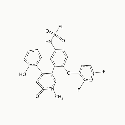 CCS(=O)(=O)Nc1ccc(Oc2ccc(F)cc2F)c(-c2cn(C)c(=O)cc2-c2ccccc2O)c1